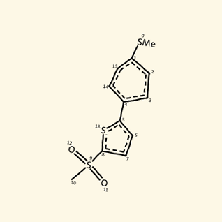 CSc1ccc(-c2ccc(S(C)(=O)=O)s2)cc1